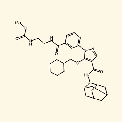 CC(C)(C)OC(=O)NCCNC(=O)c1cccc(-n2ncc(C(=O)NC3C4CC5CC(C4)CC3C5)c2OCC2CCCCC2)c1